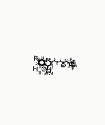 CC1(C2CC(CCCC(=O)CC3CC(F)(F)C3(F)F)=Nc3cc(F)ccc32)CCC1